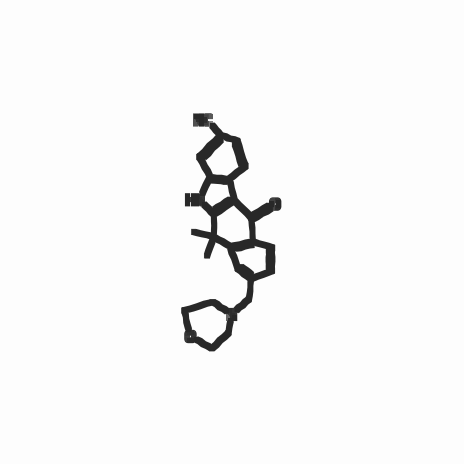 CC1(C)c2cc(CN3CCOCC3)ccc2C(=O)c2c1[nH]c1cc(C#N)ccc21